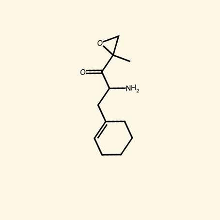 CC1(C(=O)C(N)CC2=CCCCC2)CO1